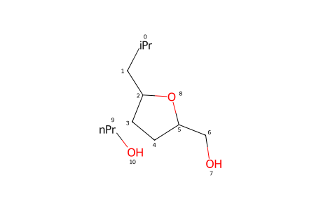 CC(C)CC1CCC(CO)O1.CCCO